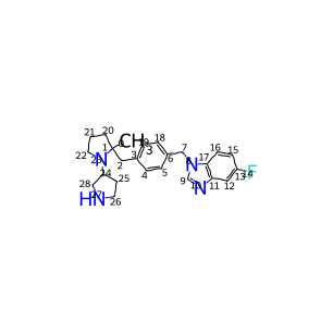 CC1(Cc2ccc(Cn3cnc4cc(F)ccc43)cc2)CCCN1C1CCNC1